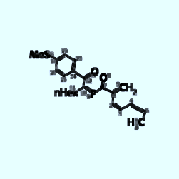 C=C(/C=C\C=C/C)C(=O)/P=C(/CCCCCC)C(=O)c1ccc(SC)cc1